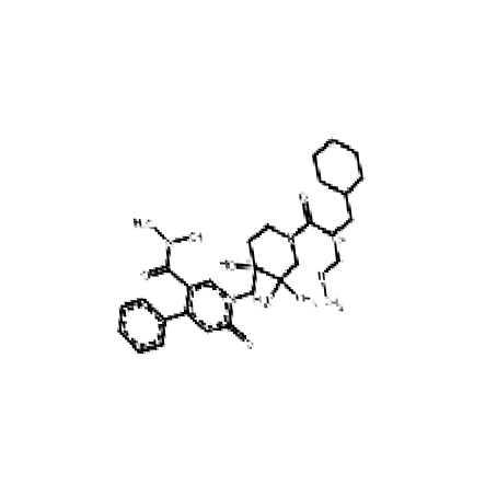 COC[C@H](CC1CCCCC1)C(=O)N1CC[C@@](O)(Cn2cc(C(=O)N(C)C)c(-c3ccccc3)cc2=O)C(C)(C)C1